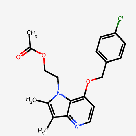 CC(=O)OCCn1c(C)c(C)c2nccc(OCc3ccc(Cl)cc3)c21